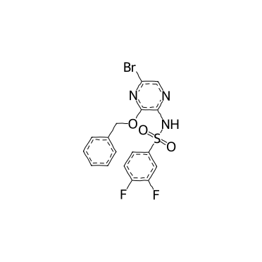 O=S(=O)(Nc1ncc(Br)nc1OCc1ccccc1)c1ccc(F)c(F)c1